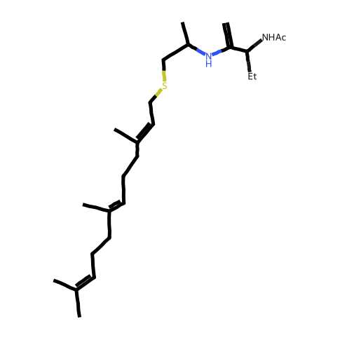 C=C(NC(C)CSC/C=C(\C)CC/C=C(\C)CCC=C(C)C)C(CC)NC(C)=O